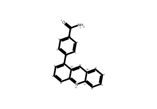 NC(=O)c1ccc(-c2cccc3nc4ccccc4cc23)cc1